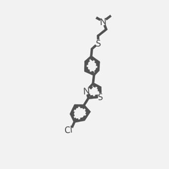 CN(C)CCSCc1ccc(-c2csc(-c3ccc(Cl)cc3)n2)cc1